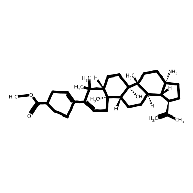 C=C(C)[C@@H]1CC[C@]2(N)CC[C@]3(C)[C@H](CC[C@@H]4[C@@]5(C)CC=C(C6=CCC(C(=O)OC)CC6)C(C)(C)[C@@H]5CC[C@]43C)[C@@H]12